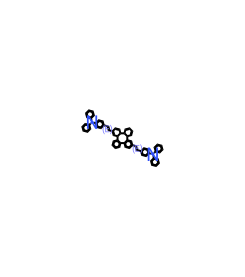 C1=CC2c3cc(/C=C/c4ccc(N(c5ccccc5)c5ccccc5)cc4)ccc3-c3ccccc3C3C=C(/C=C/c4ccc(N(c5ccccc5)c5ccccc5)cc4)C=CC3C2C=C1